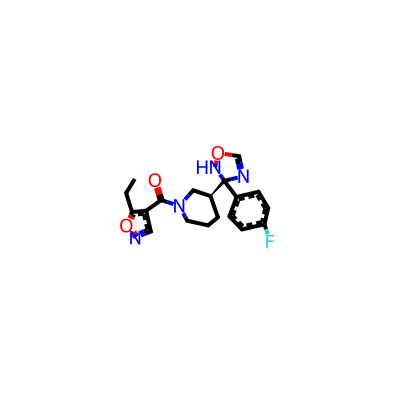 CCc1oncc1C(=O)N1CCC[C@H](C2(c3ccc(F)cc3)N=CON2)C1